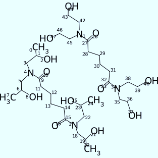 CC(O)CN(CC(C)O)C(=O)CCCCC(=O)N(CC(C)O)CC(C)O.O=C(CCCCC(=O)N(CCO)CCO)N(CCO)CCO